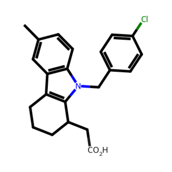 Cc1ccc2c(c1)c1c(n2Cc2ccc(Cl)cc2)C(CC(=O)O)CCC1